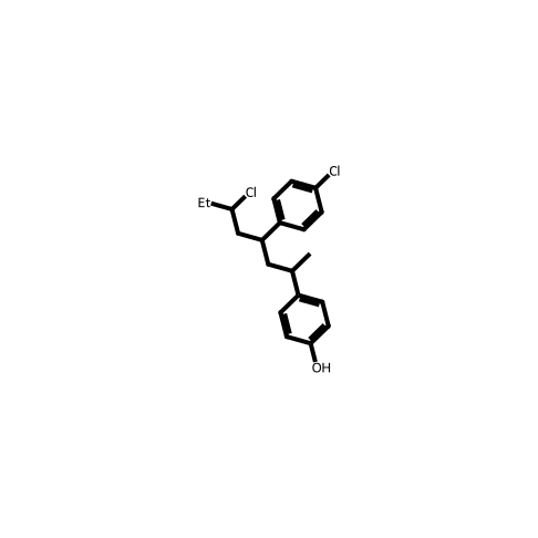 CCC(Cl)CC(CC(C)c1ccc(O)cc1)c1ccc(Cl)cc1